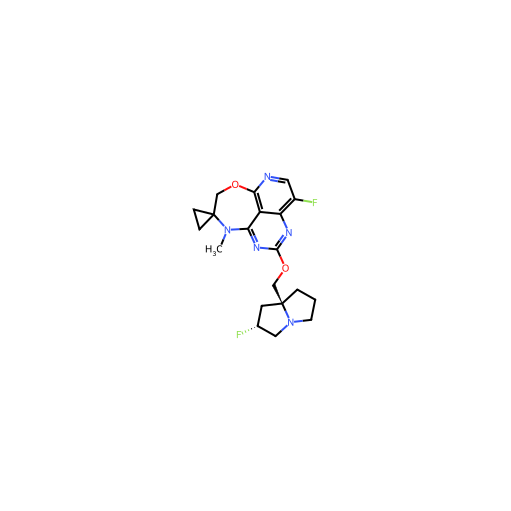 CN1c2nc(OC[C@@]34CCCN3C[C@H](F)C4)nc3c(F)cnc(c23)OCC12CC2